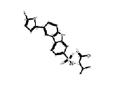 CC(C)[C@H](NS(=O)(=O)c1ccc2c(c1)oc1ccc(-c3ccc(F)s3)cc12)C(=O)O